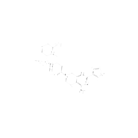 C[C@@H]1CCC(O)N(C[C@H](CC(O)N2CCc3c(nc(-c4ccoc4)nc3C(F)(F)F)C2)NC(=O)O)C1